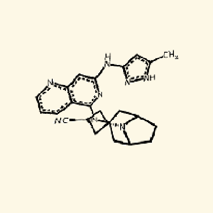 Cc1cc(Nc2cc3ncccc3c(NC3CC4CCC(C3)N4[C@H]3C[C@H](C#N)C3)n2)n[nH]1